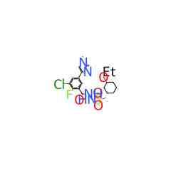 CCO[C@H]1CCC[C@H](CS(=O)(=O)NNC(=O)c2cc(-c3cn(C)cn3)cc(Cl)c2F)C1